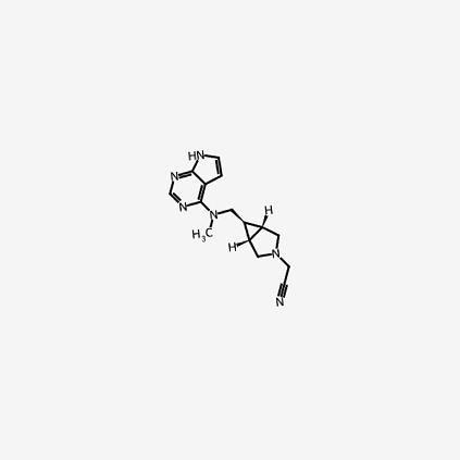 CN(C[C@H]1[C@@H]2CN(CC#N)C[C@@H]21)c1ncnc2[nH]ccc12